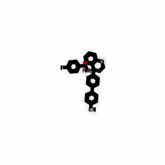 N#Cc1ccc(-c2ccc([C@]3(NC(=O)c4ccc(F)cc4)CCOc4cccnc43)cc2)cc1